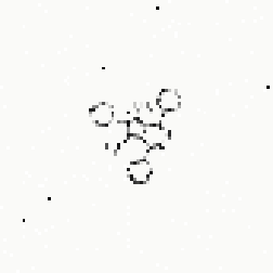 Cc1c2c(-c3ccccc3)nnc(-c3ccccc3)c2c(C)n1-c1ccccc1